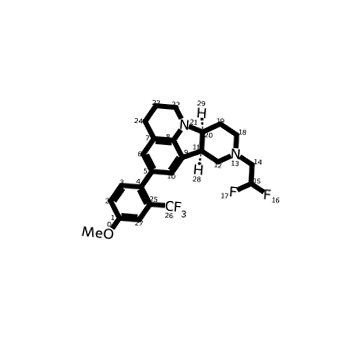 COc1ccc(-c2cc3c4c(c2)[C@@H]2CN(CC(F)F)CC[C@@H]2N4CCC3)c(C(F)(F)F)c1